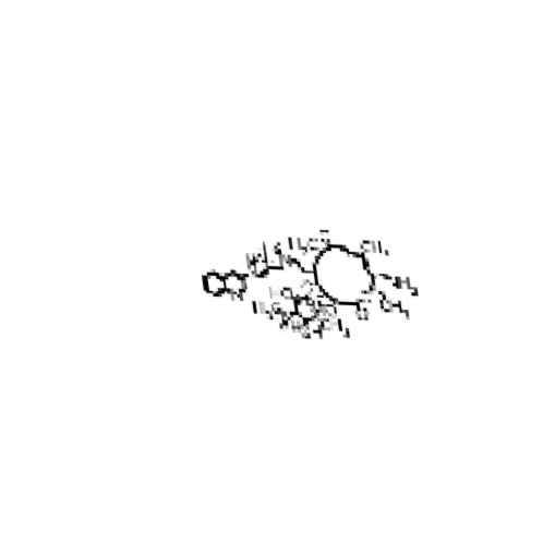 CC[C@H]1OC(=O)C[C@@H](O)[C@H](C)[C@@H](O[C@@H]2O[C@H](C)C(O)C(N(C)C)C2O)[C@@H](CCN(C)Cc2cn(-c3cnc4ccccc4c3)nn2)C[C@@H](C)C(=O)/C=C/C(C)=C/[C@@H]1CN